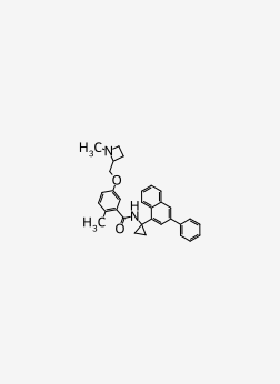 Cc1ccc(OCC2CCN2C)cc1C(=O)NC1(c2cc(-c3ccccc3)cc3ccccc23)CC1